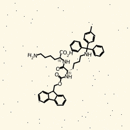 Cc1ccc(C(NCCCC[C@H](NC(=O)OCC2c3ccccc3-c3ccccc32)C(=O)N[C@@H](CCCCN)C(=O)O)(c2ccccc2)c2ccccc2)cc1